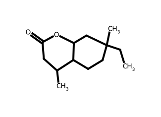 CCC1(C)CCC2C(C)CC(=O)OC2C1